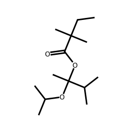 CCC(C)(C)C(=O)OC(C)(OC(C)C)C(C)C